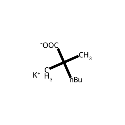 CCCCC(C)(C)C(=O)[O-].[K+]